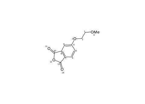 COCCOc1ccc2c(c1)C(=O)OC2=O